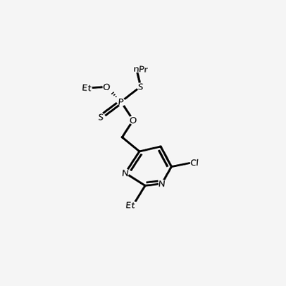 CCCS[P@@](=S)(OCC)OCc1cc(Cl)nc(CC)n1